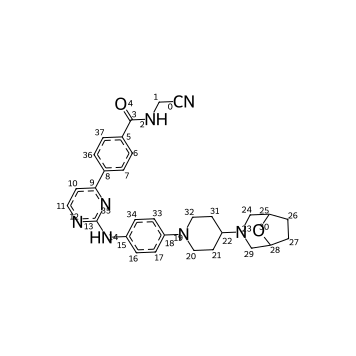 N#CCNC(=O)c1ccc(-c2ccnc(Nc3ccc(N4CCC(N5CC6CCC(C5)O6)CC4)cc3)n2)cc1